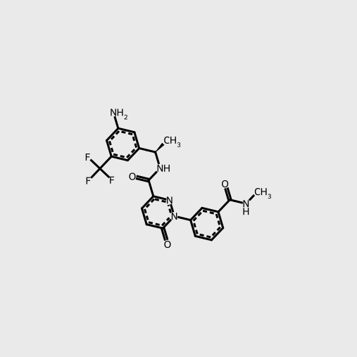 CNC(=O)c1cccc(-n2nc(C(=O)N[C@H](C)c3cc(N)cc(C(F)(F)F)c3)ccc2=O)c1